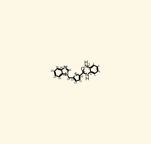 Nc1ccccc1NC(=O)c1ccc(Cn2cnc3ccccc32)s1